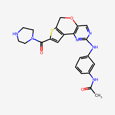 CC(=O)Nc1cccc(Nc2ncc3c(n2)-c2cc(C(=O)N4CCNCC4)sc2CO3)c1